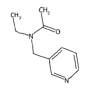 CCN(Cc1cccnc1)C(C)=O